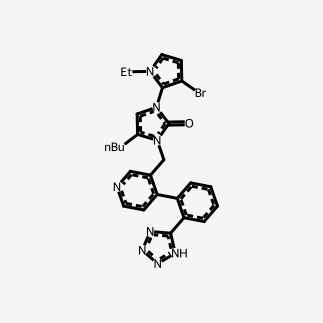 CCCCc1cn(-c2c(Br)ccn2CC)c(=O)n1Cc1cnccc1-c1ccccc1-c1nnn[nH]1